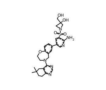 CC1(C)CCc2ncnc(N3CCOc4ccc(-c5cnc(N)c(S(=O)(=O)N6CC(O)(CO)C6)c5)cc4C3)c2C1